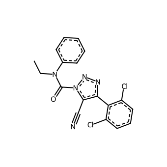 CCN(C(=O)n1nnc(-c2c(Cl)cccc2Cl)c1C#N)c1ccccc1